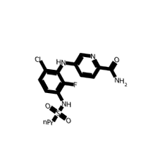 CCCS(=O)(=O)Nc1ccc(Cl)c(Nc2ccc(C(N)=O)nc2)c1F